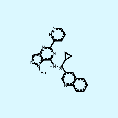 CCC(C)n1ncc2nc(-c3cccnn3)nc(N[C@@H](c3cnc4ccccc4c3)C3CC3)c21